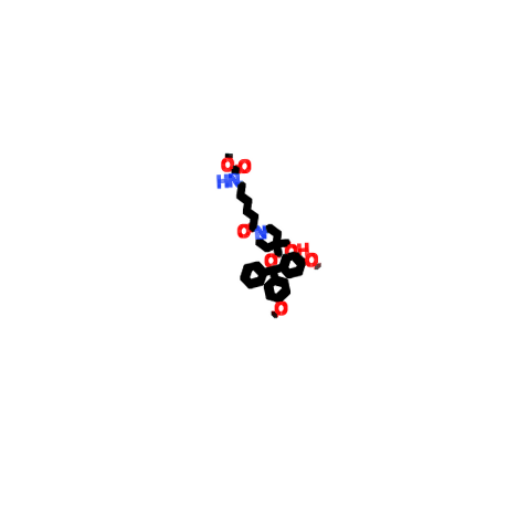 COC(=O)NCCCCCC(=O)N1CCC(CO)(COC(c2ccccc2)(c2ccc(OC)cc2)c2ccc(OC)cc2)CC1